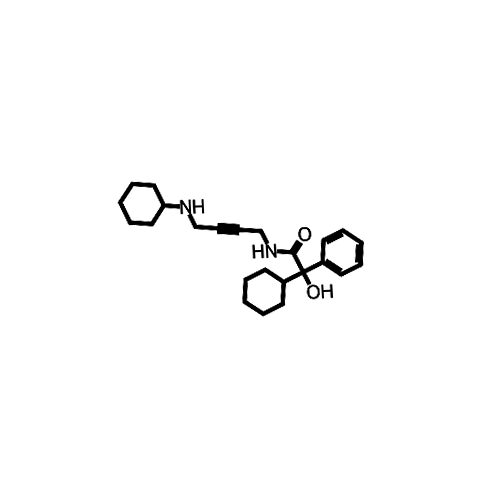 O=C(NCC#CCNC1CCCCC1)C(O)(c1ccccc1)C1CCCCC1